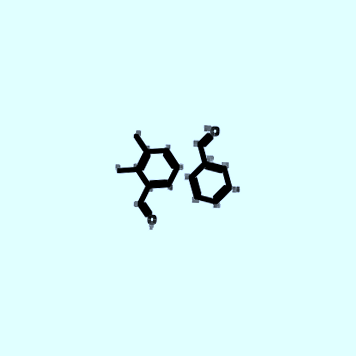 Cc1cccc(C=O)c1C.O=Cc1ccccc1